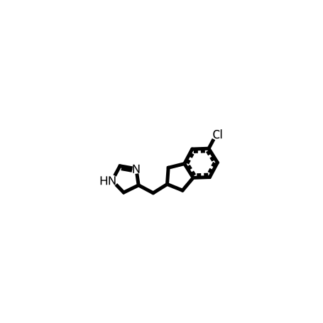 Clc1ccc2c(c1)CC(CC1CNC=N1)C2